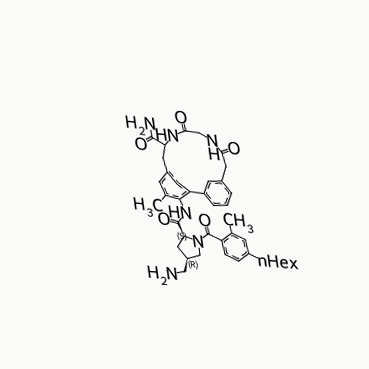 CCCCCCc1ccc(C(=O)N2C[C@@H](CN)C[C@H]2C(=O)Nc2c(C)cc3cc2-c2cccc(c2)CC(=O)NCC(=O)NC(C(N)=O)C3)c(C)c1